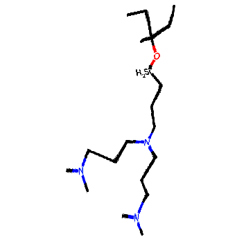 CCC(C)(CC)O[SiH2]CCCN(CCCN(C)C)CCCN(C)C